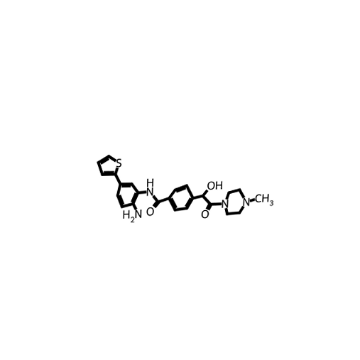 CN1CCN(C(=O)C(O)c2ccc(C(=O)Nc3cc(-c4cccs4)ccc3N)cc2)CC1